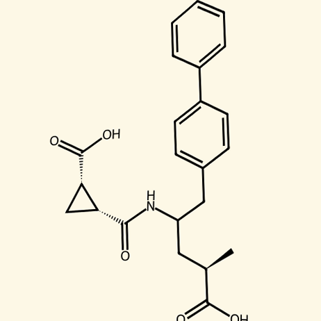 C[C@H](CC(Cc1ccc(-c2ccccc2)cc1)NC(=O)[C@@H]1C[C@@H]1C(=O)O)C(=O)O